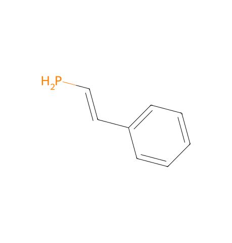 PC=Cc1ccccc1